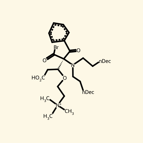 CCCCCCCCCCCCN(CCCCCCCCCCCC)[C@@](C(=O)Br)(C(=O)c1ccccc1)C(CC(=O)O)OCC[N+](C)(C)C